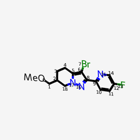 COCC1CCc2c(Br)c(-c3ccc(F)cn3)nn2C1